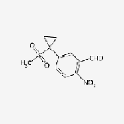 CS(=O)(=O)C1(c2ccc([N+](=O)[O-])c(C=O)c2)CC1